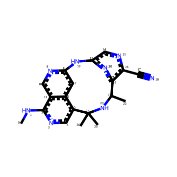 CNc1ncc2c3cc(ncc13)Nc1cnc(C#N)c(n1)C(C)NC2(C)C